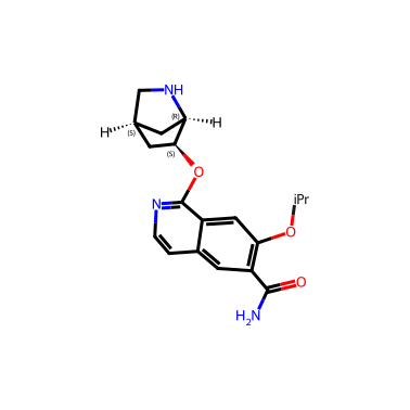 CC(C)Oc1cc2c(O[C@H]3C[C@H]4CN[C@@H]3C4)nccc2cc1C(N)=O